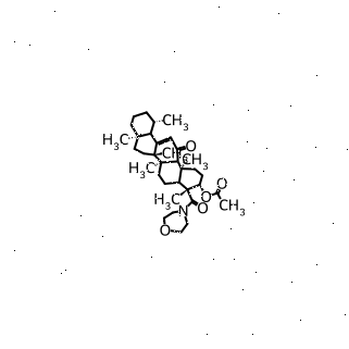 CC(=O)O[C@@H]1CC[C@@]2(C)C(CC[C@]3(C)C2C(=O)C=C2C4[C@@H](C)CCC[C@]4(C)CC[C@]23C)[C@@]1(C)C(=O)N1CCOCC1